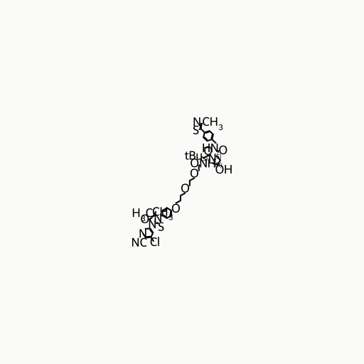 Cc1ncsc1-c1ccc(CNC(=O)[C@@H]2C[C@@H](O)CN2C(=O)[C@@H](NC(=O)COCCCOCCCCOc2ccc(N3C(=S)N(c4cnc(C#N)c(Cl)c4)C(=O)C3(C)C)cc2)C(C)(C)C)cc1